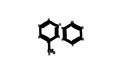 Cc1cccnc1.c1ccccc1